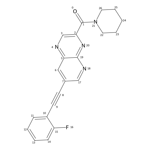 O=C(c1cnc2cc(C#Cc3ccccc3F)cnc2n1)N1CCCCC1